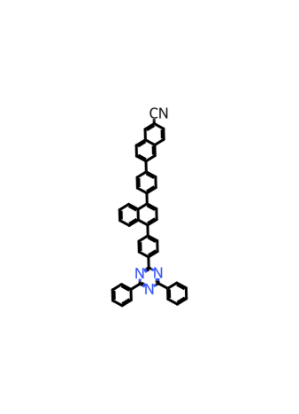 N#Cc1ccc2cc(-c3ccc(-c4ccc(-c5ccc(-c6nc(-c7ccccc7)nc(-c7ccccc7)n6)cc5)c5ccccc45)cc3)ccc2c1